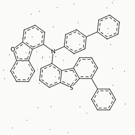 c1ccc(-c2ccc(N(c3cccc4oc5ccccc5c34)c3cccc4sc5c(-c6ccccc6)cccc5c34)cc2)cc1